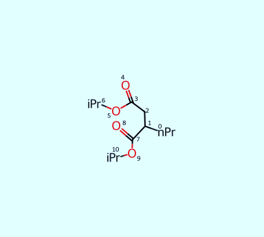 CCCC(CC(=O)OC(C)C)C(=O)OC(C)C